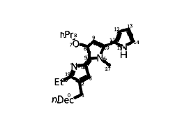 CCCCCCCCCCCC1=CC(=C2C(OCCC)C=C(c3ccc[nH]3)N2C)N=C1CC